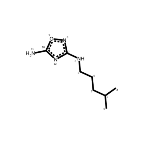 CC(C)CCCNc1noc(N)n1